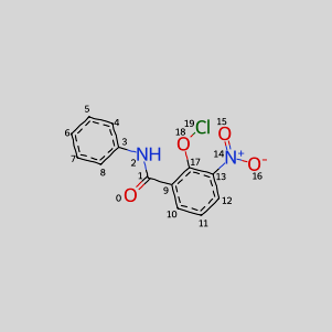 O=C(Nc1ccccc1)c1cccc([N+](=O)[O-])c1OCl